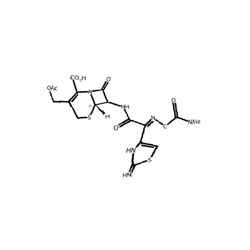 CNC(=O)ON=C(C(=O)NC1C(=O)N2C(C(=O)O)=C(COC(C)=O)CS[C@@H]12)c1csc(=N)[nH]1